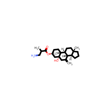 C=C1C[C@@]2(O)C[C@@H](OC(=O)C(C)CN)CC[C@]2(C)[C@H]2CC[C@]3(C)CCC[C@H]3[C@H]12